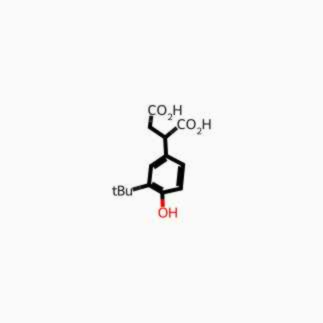 CC(C)(C)c1cc(C(CC(=O)O)C(=O)O)ccc1O